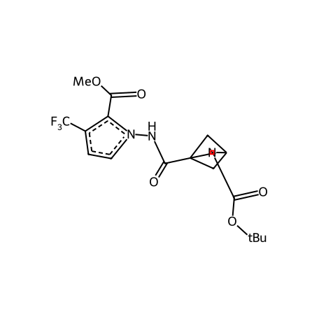 COC(=O)c1c(C(F)(F)F)ccn1NC(=O)C12CC(C1)N(C(=O)OC(C)(C)C)C2